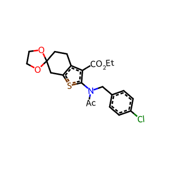 CCOC(=O)c1c(N(Cc2ccc(Cl)cc2)C(C)=O)sc2c1CCC1(C2)OCCO1